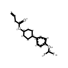 C=CCC(=O)OC1CCC(c2ccc(OC(F)F)cc2)CC1